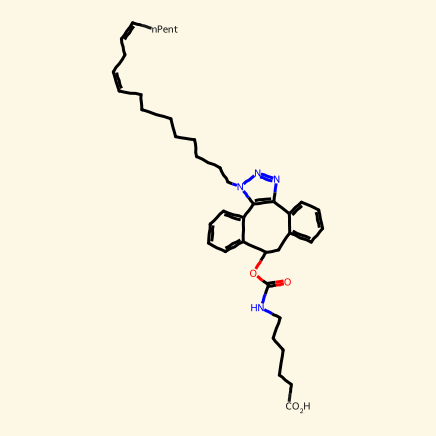 CCCCC/C=C\C/C=C\CCCCCCCCn1nnc2c1-c1ccccc1C(OC(=O)NCCCCCC(=O)O)Cc1ccccc1-2